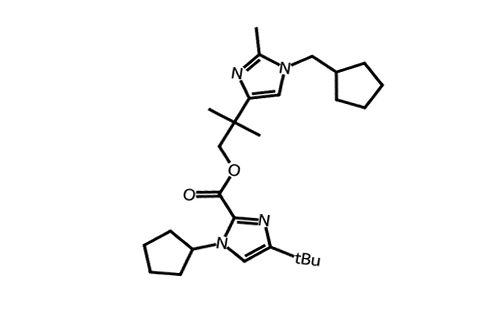 Cc1nc(C(C)(C)COC(=O)c2nc(C(C)(C)C)cn2C2CCCC2)cn1CC1CCCC1